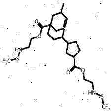 CC1C=C2CC(C(=O)OCCNSC(F)(F)F)(CCC2C2CCC(C(=O)OCCNSC(F)(F)F)C2)C1